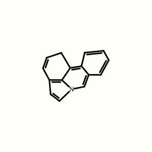 C1=Cc2ccn3cc4ccccc4c(c23)C1